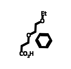 CCOCCOCCC(=O)O.c1ccccc1